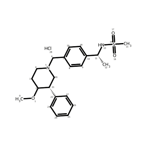 COC1CCN(Cc2ccc([C@@H](C)NS(C)(=O)=O)cc2)C[C@@H]1c1ccccc1.Cl